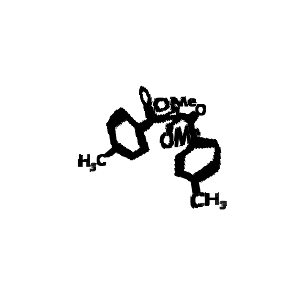 CO[Si](OC)(C(=O)c1ccc(C)cc1)C(=O)c1ccc(C)cc1